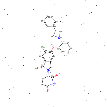 O=C1CC[C@@H](N2Cc3cc(O[C@H]4CCCC[C@H]4N4CC(c5ccccc5)C4)c(F)cc3C2=O)C(=O)N1